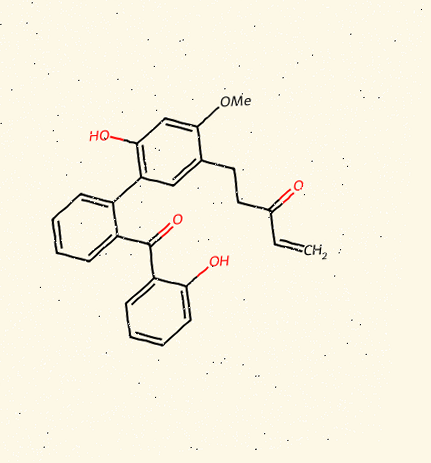 C=CC(=O)CCc1cc(-c2ccccc2C(=O)c2ccccc2O)c(O)cc1OC